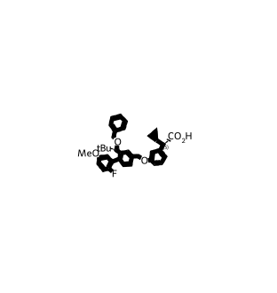 COc1ccc(F)c(-c2ccc(COc3cccc([C@@H](CC(=O)O)C4CC4)c3)cc2[C@@H](OCc2ccccc2)C(C)(C)C)c1